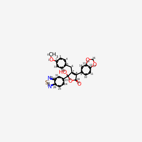 COc1ccc(CC2=C(c3ccc4c(c3)OCO4)C(=O)OC2(O)c2ccc3nsnc3c2)cc1